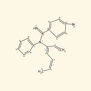 C=C/C(=C\C=C/C)N(C(=N)c1ccc(Br)cc1)c1ccccc1